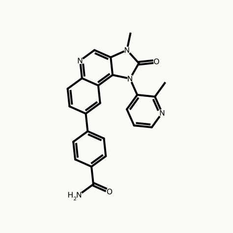 Cc1ncccc1-n1c(=O)n(C)c2cnc3ccc(-c4ccc(C(N)=O)cc4)cc3c21